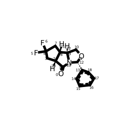 O=C1[C@@H]2CC(F)(F)C[C@@H]2[C@H]2CO[C@H](c3ccccc3)N12